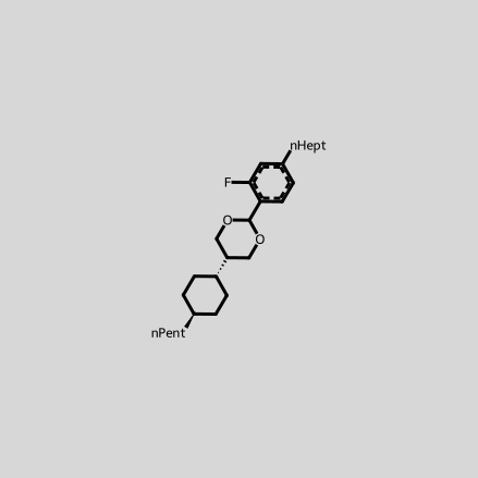 CCCCCCCc1ccc(C2OCC([C@H]3CC[C@H](CCCCC)CC3)CO2)c(F)c1